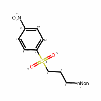 CCCCCCCCCCCCS(=O)(=O)c1ccc([N+](=O)[O-])cc1